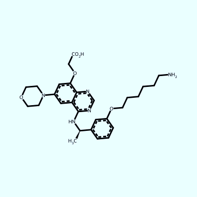 C[C@@H](Nc1ncnc2c(OCC(=O)O)cc(N3CCOCC3)cc12)c1cccc(OCCCCCCN)c1